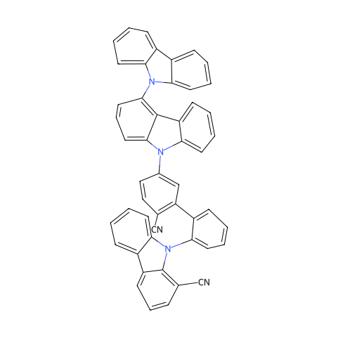 N#Cc1ccc(-n2c3ccccc3c3c(-n4c5ccccc5c5ccccc54)cccc32)cc1-c1ccccc1-n1c2ccccc2c2cccc(C#N)c21